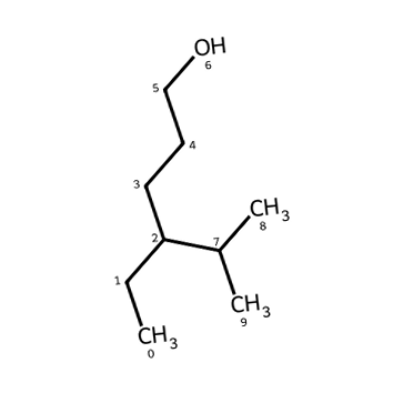 CCC(CCCO)C(C)C